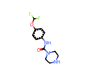 O=C(Nc1ccc(OC(F)F)cc1)N1CCNCC1